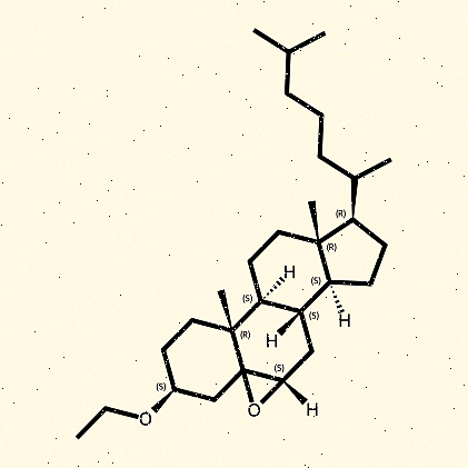 CCO[C@H]1CC[C@]2(C)[C@H]3CC[C@]4(C)[C@@H](C(C)CCCC(C)C)CC[C@H]4[C@@H]3C[C@@H]3OC32C1